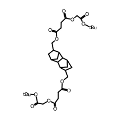 CC(C)(C)OC(=O)COC(=O)CCC(=O)OCC1CC2CC1C1C3CC(COC(=O)CCC(=O)OCC(=O)OC(C)(C)C)C(C3)C21